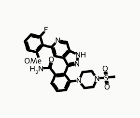 COc1cccc(F)c1-c1cc2c(-c3c(C(N)=O)cccc3N3CCN(S(C)(=O)=O)CC3)n[nH]c2cn1